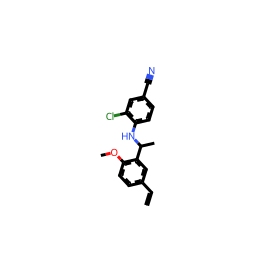 C=Cc1ccc(OC)c(C(C)Nc2ccc(C#N)cc2Cl)c1